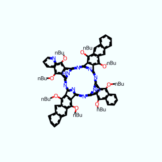 CCCCOc1c2c(c(OCCCC)c3cc4ccccc4cc13)-c1nc-2nc2[nH]c(nc3nc(nc4[nH]c(n1)c1c(OCCCC)c5cccnc5c(OCCCC)c41)-c1c-3c(OCCCC)c3cc4ccccc4cc3c1OCCCC)c1c(OCCCC)c3ccccc3c(OCCCC)c21